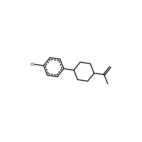 C=C(C)C1CCC(c2ccc(Cl)cc2)CC1